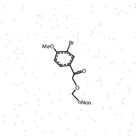 CCCCCCCCCCOCC(=O)c1ccc(OC)c(Br)c1